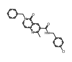 Cc1nc2ccn(Cc3ccccc3)c(=O)c2cc1C(=O)NCc1ccc(Cl)cc1